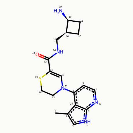 Cc1c[nH]c2nccc(N3C=C(C(=O)NC[C@@H]4CC[C@@H]4N)SCC3)c12